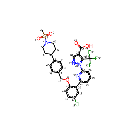 CS(=O)(=O)N1CCC(c2ccc(COc3ccc(Cl)cc3-c3cccc(-n4ncc(C(=O)O)c4C(F)(F)F)n3)cc2)CC1